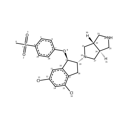 CS(=O)(=O)c1ccc(O[C@@H]2c3cc(Cl)cc(Cl)c3C[C@H]2N2C[C@@H]3CNC[C@H]3C2)cc1